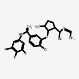 C=C(Nc1cc(F)c(F)c(F)c1)c1ccc(Cl)c(SC2C(C)CCC2C(O)/N=C\C)c1